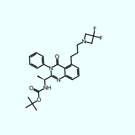 C[C@H](NC(=O)OC(C)(C)C)c1nc2cccc(CCCN3CC(F)(F)C3)c2c(=O)n1-c1ccccc1